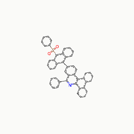 O=S(=O)(c1ccccc1)c1c2ccccc2c(-c2ccc3c(c2)c(-c2ccccc2)nc2c4ccccc4c4ccccc4c32)c2ccccc12